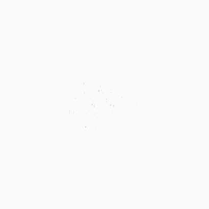 CCOP(=NCC(CO)(c1cccc(Br)c1)c1cccc(Br)c1)(OCC)OCC